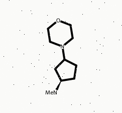 CN[C@@H]1CCC(N2CCOCC2)C1